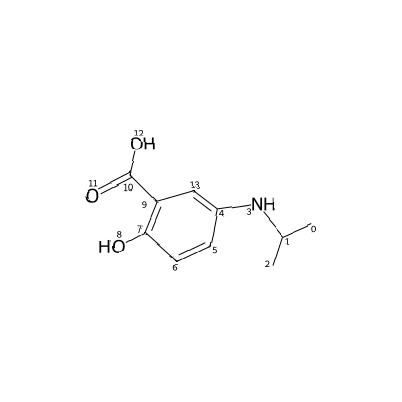 CC(C)Nc1ccc(O)c(C(=O)O)c1